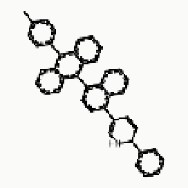 Cc1ccc(-c2c3ccccc3c(-c3ccc(C4=CNC(c5ccccc5)C=C4)c4ccccc34)c3ccccc23)cc1